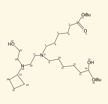 CC(C)COC(=O)CCCCCN(CCCCCC(O)OCC(C)C)CCN(CCO)C1CCC1